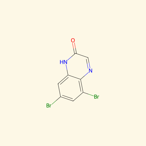 O=c1cnc2c(Br)cc(Br)cc2[nH]1